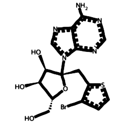 Nc1ncnc2c1ncn2[C@]1(Cc2sccc2Br)O[C@H](CO)[C@@H](O)[C@H]1O